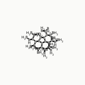 BBB(B)B(B(B)B)B1B(B(B(B)B)B(B)B)B(C)B(B(B(B)B)B(BB)B(B)B)B1B(B(B)B)B(B)B(B)B